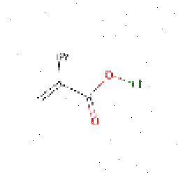 C=C(C(=O)OCl)C(C)C